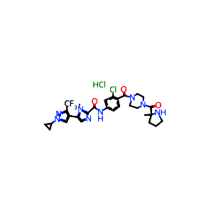 Cl.Cn1c(-c2cn(C3CC3)nc2C(F)(F)F)cnc1C(=O)Nc1ccc(C(=O)N2CCN(C(=O)C3(C)CCCN3)CC2)c(Cl)c1